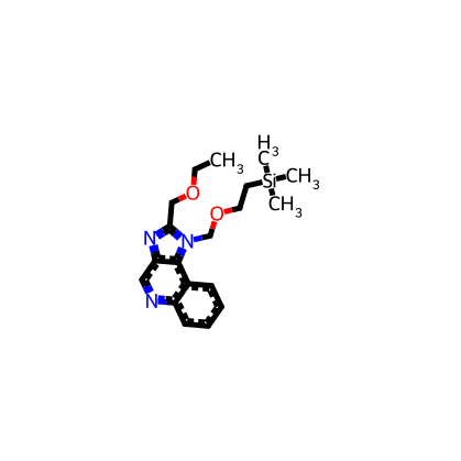 CCOCc1nc2cnc3ccccc3c2n1COCC[Si](C)(C)C